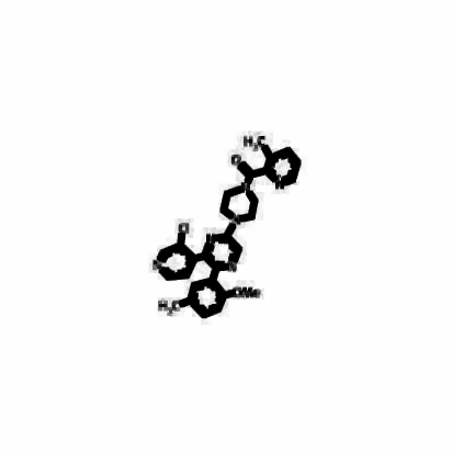 COc1ccc(C)cc1-c1ncc(N2CCN(C(=O)c3ncccc3C)CC2)nc1-c1ccncc1Cl